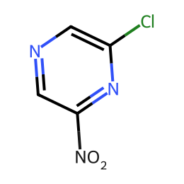 O=[N+]([O-])c1cncc(Cl)n1